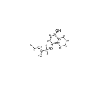 CCOC(=O)C(C)(C)Oc1ccc(O)c2c1CCCC2